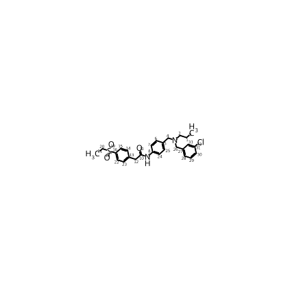 CCCN(Cc1ccc(NC(=O)Cc2ccc(S(=O)(=O)CC)cc2)cc1)Cc1cccc(Cl)c1